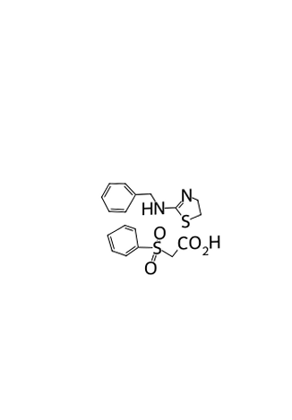 O=C(O)CS(=O)(=O)c1ccccc1.c1ccc(CNC2=NCCS2)cc1